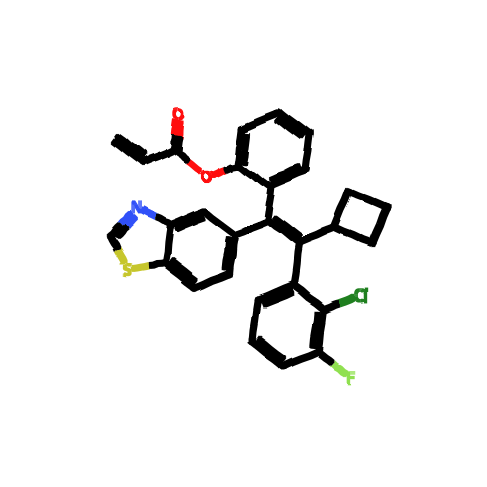 C=CC(=O)Oc1ccccc1/C(=C(/c1cccc(F)c1Cl)C1CCC1)c1ccc2scnc2c1